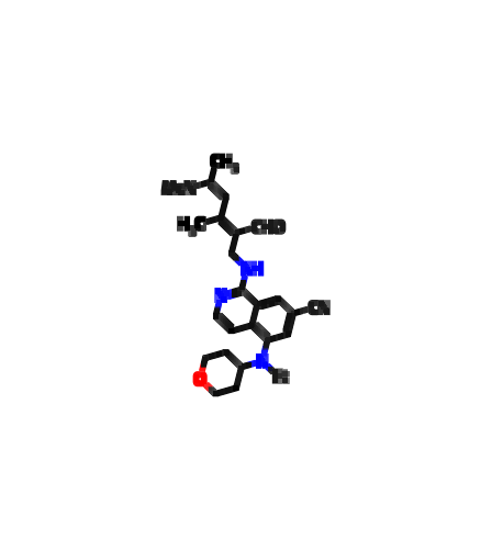 CCN(c1cc(C#N)cc2c(NC/C(C=O)=C(C)/C=C(/C)NC)nccc12)C1CCOCC1